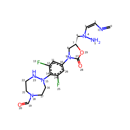 C=N/C=C\N(N)C[C@H]1CN(c2cc(F)c(N3CCN(C=O)CCN3)c(F)c2)C(=O)O1